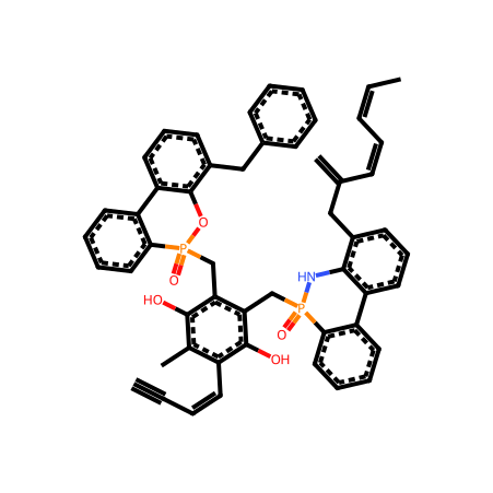 C#C/C=C\c1c(C)c(O)c(CP2(=O)Oc3c(Cc4ccccc4)cccc3-c3ccccc32)c(CP2(=O)Nc3c(CC(=C)/C=C\C=C/C)cccc3-c3ccccc32)c1O